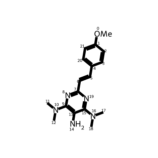 COc1ccc(/C=C/c2nc(N(C)C)c(N)c(N(C)C)n2)cc1